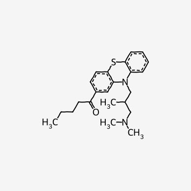 CCCCC(=O)c1ccc2c(c1)N(CC(C)CN(C)C)c1ccccc1S2